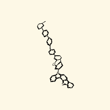 CC1C=C(c2ccc(-c3ccc(-c4ccc(C5=CCC6C(=C5)Oc5cc(-n7c8ccccc8c8c9sc%10ccccc%10c9ccc87)ccc56)cc4)cc3)cc2)C=CC1